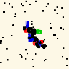 Cc1cc(Cl)cc(-c2ncnn3cc(Cn4c(=O)ccn(C5CC5)c4=O)cc23)c1CC1CNCCO1.Cl